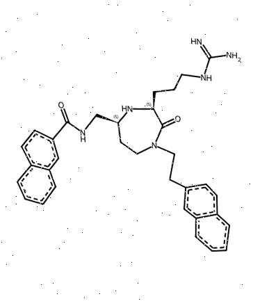 N=C(N)NCCC[C@@H]1N[C@H](CNC(=O)c2ccc3ccccc3c2)CCN(CCc2ccc3ccccc3c2)C1=O